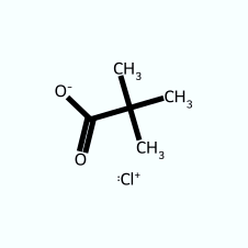 CC(C)(C)C(=O)[O-].[Cl+]